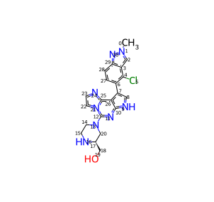 Cn1cc2c(Cl)c(-c3c[nH]c4nc(N5CCN[C@H](CO)C5)n5ccnc5c34)ccc2n1